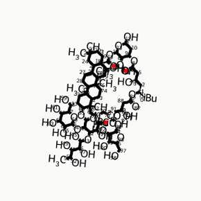 CC[C@H](C)[C@H](C[C@H](O)CC(=O)OC1CC(O)OC(OC(=O)[C@]23CCC(C)(C)CC2C2=CCC4[C@@]5(C)CC[C@H](OC6OC(C(=O)O)C(O)C(OC(O)C(O)C(O)C(C)O)C6OC6OC(CO)C(O)C(O)C6O)[C@@](C)(CNCC(=O)O)C5CC[C@@]4(C)[C@]2(C)C[C@H]3O)C1OO)OC(=O)C[C@@H](O)C[C@H](OC1OC(CO)C(O)C1O)[C@@H](C)CC